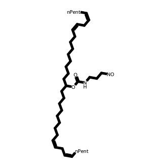 CCCCC/C=C\C/C=C\CCCCCCCCC(CCCCCCCC/C=C\C/C=C\CCCCC)OC(=O)NCCCN=O